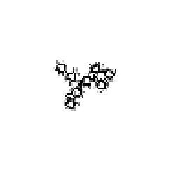 c1ccc(-c2ccc(N(c3ccc(N4c5ccccc5-c5ccccc5-c5ccccc54)cc3)c3ccc4c(c3)sc3ccccc34)cc2)cc1